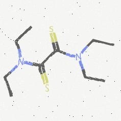 CCN(CC)C(=S)C(=S)N(CC)CC